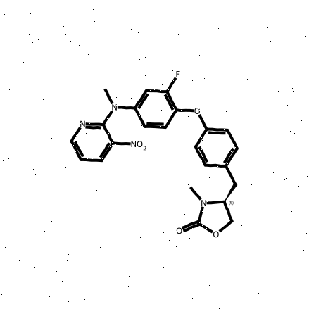 CN(c1ccc(Oc2ccc(C[C@H]3COC(=O)N3C)cc2)c(F)c1)c1ncccc1[N+](=O)[O-]